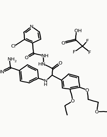 CCOc1cc(C(Nc2ccc(C(=N)N)cc2)C(=O)NNC(=O)c2ccncc2Cl)ccc1OCCOC.O=C(O)C(F)(F)F